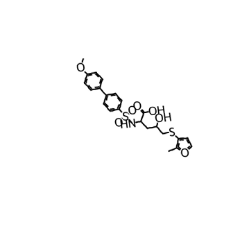 COc1ccc(-c2ccc(S(=O)(=O)NC(CC(O)CSc3ccoc3C)C(=O)O)cc2)cc1